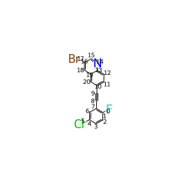 Fc1ccc(Cl)cc1C#Cc1ccc2ncc(Br)cc2c1